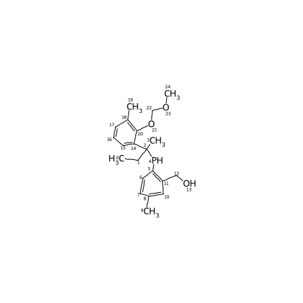 CCC(C)(Pc1ccc(C)cc1CO)c1cccc(C)c1OCOC